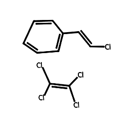 ClC(Cl)=C(Cl)Cl.ClC=Cc1ccccc1